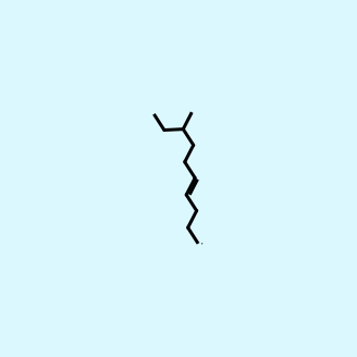 [CH2]CCC=CCCC(C)CC